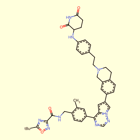 Cc1cc(-c2ncnn3cc(-c4ccc5c(c4)CN(CCc4ccc(NC6CCC(=O)NC6=O)cc4)CC5)cc23)ccc1CNC(=O)c1noc(C(C)(C)C)n1